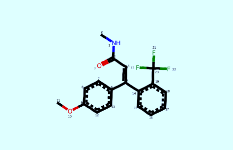 CNC(=O)/C=C(\c1ccc(OC)cc1)c1ccccc1C(F)(F)F